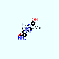 COc1cnc(-n2c(C)cc3c(C(N)=O)cccc32)nc1N(C)c1cccc(O)c1